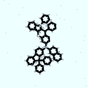 c1ccc(C2c3ccc(N(c4ccc5c(c4)C(c4ccccc4)(c4ccccc4)c4ccccc4-5)c4ccc5ccccc5c4)cc3Oc3c2n(-c2ccccc2)c2ccccc32)cc1